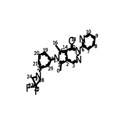 Cc1c2cnn(-c3ccccn3)c(=O)c2c(C)n1-c1cccc(N2CC(F)(F)C2)c1